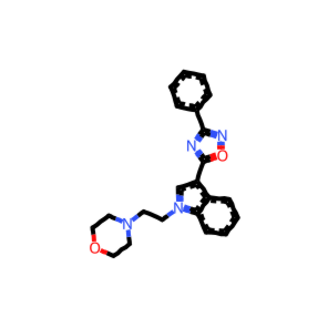 c1ccc(-c2noc(-c3cn(CCN4CCOCC4)c4ccccc34)n2)cc1